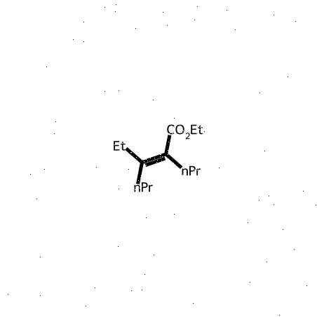 CCC/C(CC)=C(\CCC)C(=O)OCC